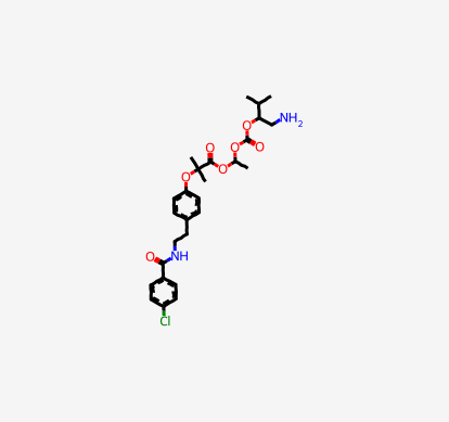 CC(OC(=O)OC(CN)C(C)C)OC(=O)C(C)(C)Oc1ccc(CCNC(=O)c2ccc(Cl)cc2)cc1